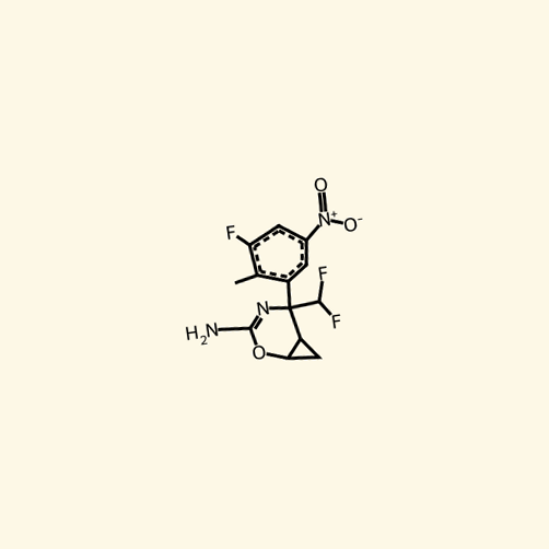 Cc1c(F)cc([N+](=O)[O-])cc1C1(C(F)F)N=C(N)OC2CC21